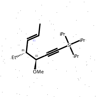 C/C=C/[C@@H](CC)[C@@H](C#C[Si](C(C)C)(C(C)C)C(C)C)OC